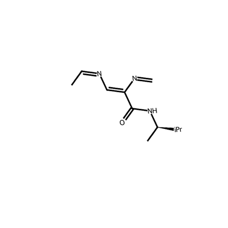 C=N/C(=C\N=C/C)C(=O)N[C@H](C)C(C)C